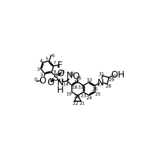 COc1ccc(C)c(F)c1S(=O)(=O)Nc1noc2c1CC1(CC1)c1ccc(N3CC(O)C3)cc1-2